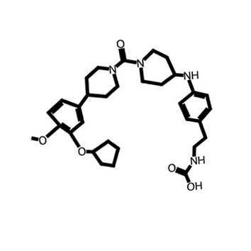 COc1ccc(C2CCN(C(=O)N3CCC(Nc4ccc(CCNC(=O)O)cc4)CC3)CC2)cc1OC1CCCC1